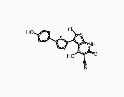 N#Cc1c(O)c2c(-c3ccc(-c4ccc(O)cc4)s3)c(Cl)sc2[nH]c1=O